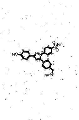 CNCc1ccc(-c2cc(-c3ccc(O)cc3)nn2-c2ccc(S(N)(=O)=O)cc2)cc1